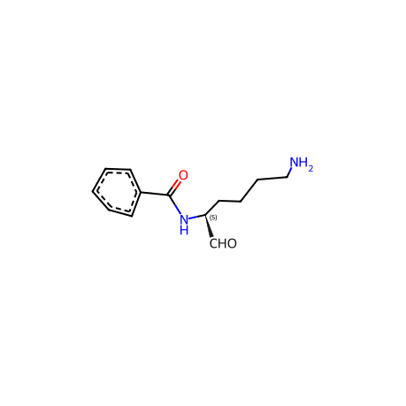 NCCCC[C@@H](C=O)NC(=O)c1ccccc1